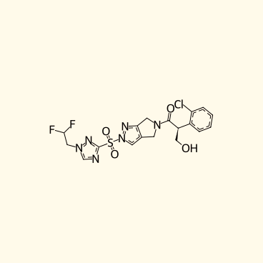 O=C([C@H](CO)c1ccccc1Cl)N1Cc2cn(S(=O)(=O)c3ncn(CC(F)F)n3)nc2C1